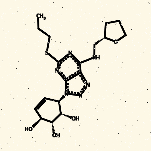 CCCSc1nc(NC[C@@H]2CCCO2)c2nnn([C@@H]3C=C[C@H](O)[C@@H](O)[C@H]3O)c2n1